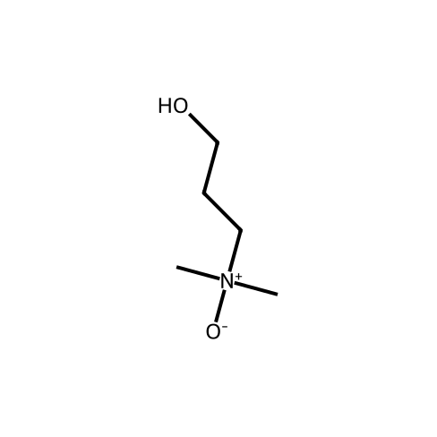 C[N+](C)([O-])CCCO